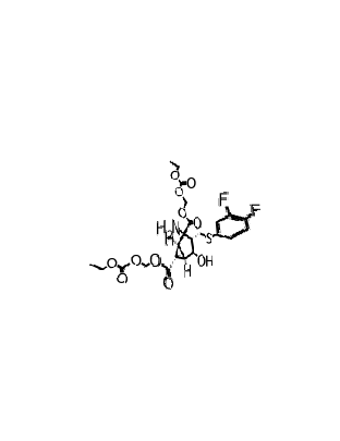 CCOC(=O)OCOC(=O)[C@H]1[C@@H]2[C@H](O)[C@@H](CSc3ccc(F)c(F)c3)[C@@](N)(C(=O)OCOC(=O)OCC)[C@H]12